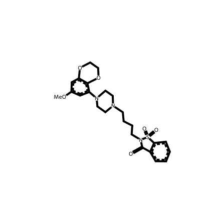 COc1cc2c(c(N3CCN(CCCCN4C(=O)c5ccccc5S4(=O)=O)CC3)c1)OCCO2